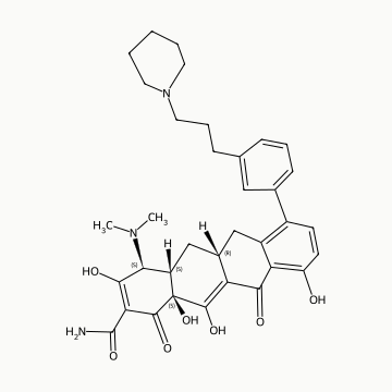 CN(C)[C@@H]1C(O)=C(C(N)=O)C(=O)[C@@]2(O)C(O)=C3C(=O)c4c(O)ccc(-c5cccc(CCCN6CCCCC6)c5)c4C[C@H]3C[C@@H]12